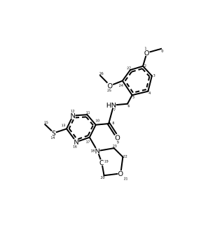 COc1ccc(CNC(=O)c2cnc(SC)nc2N2CCOCC2)c(OC)c1